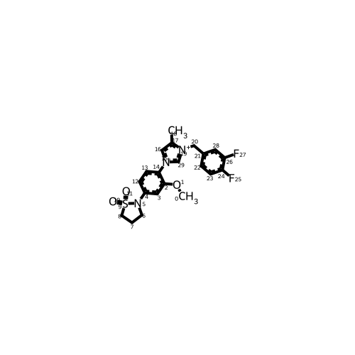 COc1cc(N2CCCS2(=O)=O)ccc1-n1cc(C)[n+](Cc2ccc(F)c(F)c2)c1